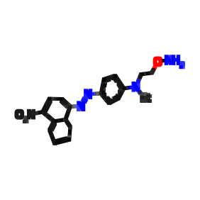 CCN(CCON)c1ccc(/N=N/C2=CC=C([N+](=O)[O-])C3=CC=CCC23)cc1